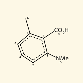 CNc1cccc(C)c1C(=O)O